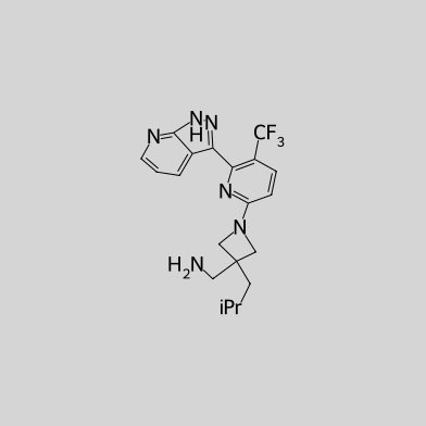 CC(C)CC1(CN)CN(c2ccc(C(F)(F)F)c(-c3n[nH]c4ncccc34)n2)C1